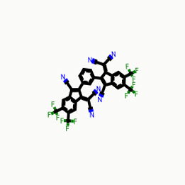 N#CC(C#N)=C1C(c2cccc(C3=C(C#N)c4cc(C(F)(F)F)c(C(F)(F)F)cc4C3=C(C#N)C#N)c2)=C(C#N)c2cc(C(F)(F)F)c(C(F)(F)F)cc21